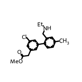 CCNCc1cc(C)ccc1-c1cc(Cl)cc(CC(=O)OC)c1